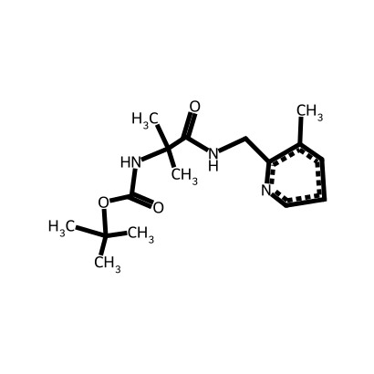 Cc1cccnc1CNC(=O)C(C)(C)NC(=O)OC(C)(C)C